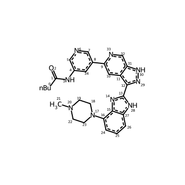 CCCCC(=O)Nc1cncc(-c2cc3c(-c4nc5c(N6CCN(C)CC6)cccc5[nH]4)n[nH]c3cn2)c1